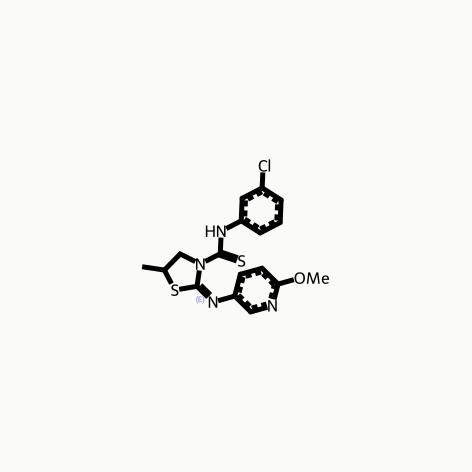 COc1ccc(/N=C2/SC(C)CN2C(=S)Nc2cccc(Cl)c2)cn1